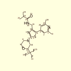 Cc1cc(-c2sc(N3CCOC(C(F)(F)F)C3)nc2CNC(=O)C(C)C)cc(C)n1